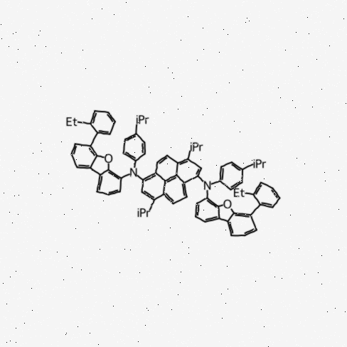 CCc1ccccc1-c1cccc2c1oc1c(N(c3ccc(C(C)C)cc3)c3cc(C(C)C)c4ccc5c(N(c6ccc(C(C)C)cc6)c6cccc7c6oc6c(-c8ccccc8CC)cccc67)cc(C(C)C)c6ccc3c4c65)cccc12